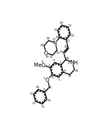 COc1cc2c(cc1OCc1ccccc1)CCNC2C=Cc1ccccc1N1CCOCC1